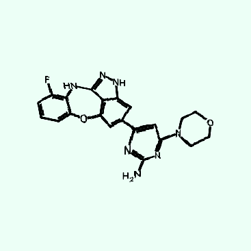 Nc1nc(-c2cc3c4c(n[nH]c4c2)Nc2c(F)cccc2O3)cc(N2CCOCC2)n1